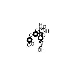 O=C1NC(=O)C(c2ccc(Oc3ccc4c(c3)OCO4)cc2)(N2CCC3(CC2)CN(CCO)C3)C(=O)N1